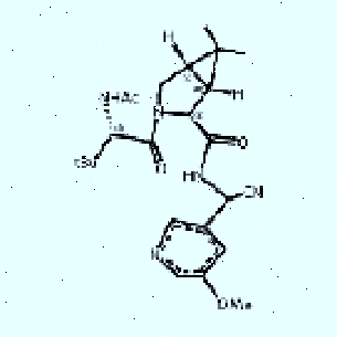 COc1cncc(C(C#N)NC(=O)[C@@H]2[C@@H]3[C@H](CN2C(=O)[C@@H](NC(C)=O)C(C)(C)C)C3(C)C)c1